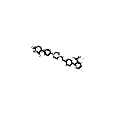 NC(=O)c1cccnc1C1CCC(CCN2CCN(c3ccc(C4CCC(=O)NC4=O)cc3)CC2)CC1